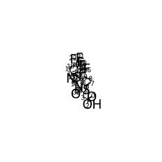 O=C(O)CC1Sc2ccccc2N(Cc2nc3ccc(C(F)(F)F)c(C(F)(F)F)c3s2)C1=O